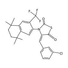 CC1(C)CCC(C)(C)c2cc(C(F)(F)F)c(N3C(=O)SC(=O)C3=Cc3cccc(Cl)c3)cc21